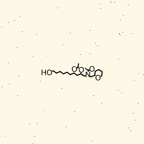 CC(=O)OC(CCCCCCCCO)CN(CC1CCCCO1)C(C)=O